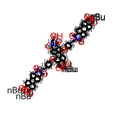 CCCCOC(=O)c1ccc2c3ccc4c5c(ccc(c6ccc(C(=O)OCCCC)c1c26)c53)C(=O)N(CCc1ccc(Oc2cc(C(=O)OCCCC)c3c(C(=O)OCCCC)ccc5c6c(Oc7ccc(CCN8C(=O)c9ccc%10c%11ccc(C(=O)OCCCC)c%12c(C(=O)OCCCC)ccc(c%13ccc(c9c%10%13)C8=O)c%12%11)cc7)cc7c8c(ccc(c2c35)c86)C(=O)N(CCO)C7=O)cc1)C4=O